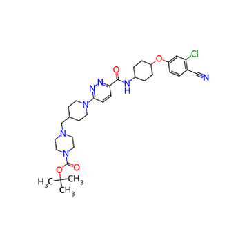 CC(C)(C)OC(=O)N1CCN(CC2CCN(c3ccc(C(=O)NC4CCC(Oc5ccc(C#N)c(Cl)c5)CC4)nn3)CC2)CC1